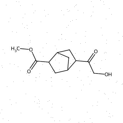 COC(=O)C1CC2CC1CC2C(=O)CO